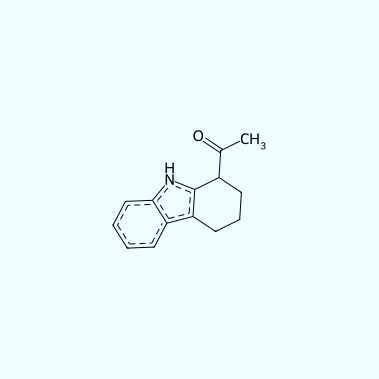 CC(=O)C1CCCc2c1[nH]c1ccccc21